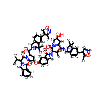 Cc1nocc1-c1ccc(CNC(=O)C2CC(Oc3ccc4c(c3)C(=O)N(C(C(=O)N3CC(O)CC3C(=O)NCc3ccc(-c5cnoc5C)cc3C(C)(C)C)C(C)C)C4)CN2C(=O)C(C(C)C)N2Cc3ccccc3C2=O)c(C(C)(C)C)c1